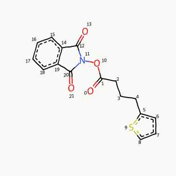 O=C(CCCc1cccs1)ON1C(=O)c2ccccc2C1=O